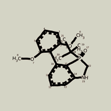 COc1cccc(OC)c1-c1cccc2c1P(=O)(C(C)(C)C)CN2